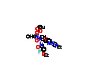 CCOc1ccc2c(c1F)C(=O)N(C[C@@H](c1cc3nc(N4CCN(CC)CC4)ccc3o1)N(C)C(=O)N(C=O)COC(=O)OC(C)(C)C)C2